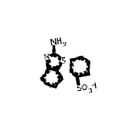 Nc1nc2ccccc2s1.O=S(=O)(O)c1ccccc1